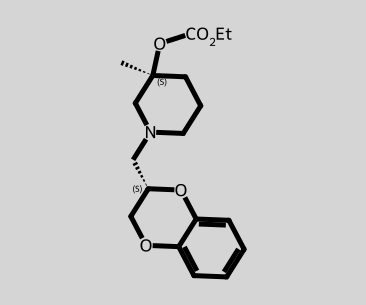 CCOC(=O)O[C@@]1(C)CCCN(C[C@H]2COc3ccccc3O2)C1